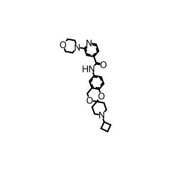 O=C(Nc1ccc2c(c1)COC1(CCN(C3CCC3)CC1)O2)c1ccnc(N2CCOCC2)c1